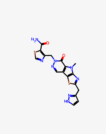 Cn1c2nc(Cc3cc[nH]n3)sc2c2cnn(Cc3ncsc3C(N)=O)c(=O)c21